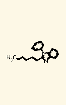 CCCCCCc1nc2ccccc2n1-c1ccccc1